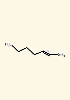 CCCC/C=C/[SiH3]